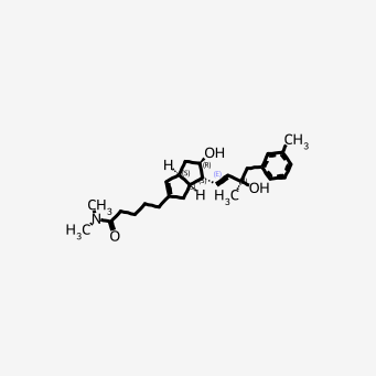 Cc1cccc(C[C@@](C)(O)/C=C/[C@@H]2[C@H]3CC(CCCCC(=O)N(C)C)=C[C@H]3C[C@H]2O)c1